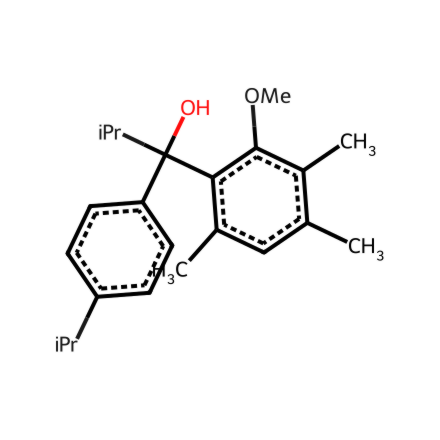 COc1c(C)c(C)cc(C)c1C(O)(c1ccc(C(C)C)cc1)C(C)C